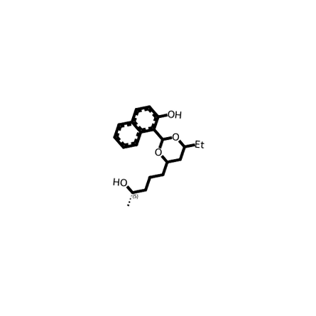 CCC1CC(CCC[C@H](C)O)OC(c2c(O)ccc3ccccc23)O1